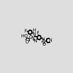 CS(=O)(=Nc1cc(F)c2c(Nc3ccc(F)cc3O[C@H]3COC[C@@H]3O)ncnc2c1)c1ccncc1